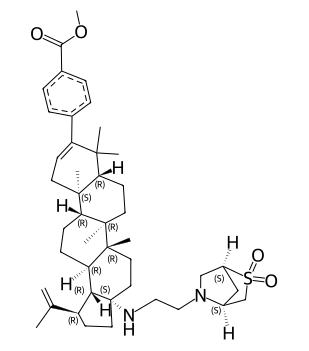 C=C(C)[C@@H]1CC[C@]2(NCCN3C[C@@H]4C[C@H]3CS4(=O)=O)CC[C@]3(C)[C@H](CC[C@@H]4[C@@]5(C)CC=C(c6ccc(C(=O)OC)cc6)C(C)(C)[C@@H]5CC[C@]43C)[C@@H]12